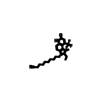 CCc1c(C)c2c3c(C(F)(F)F)cc(=O)[nH]c3ccc2n1CCCCCCCCCC#N